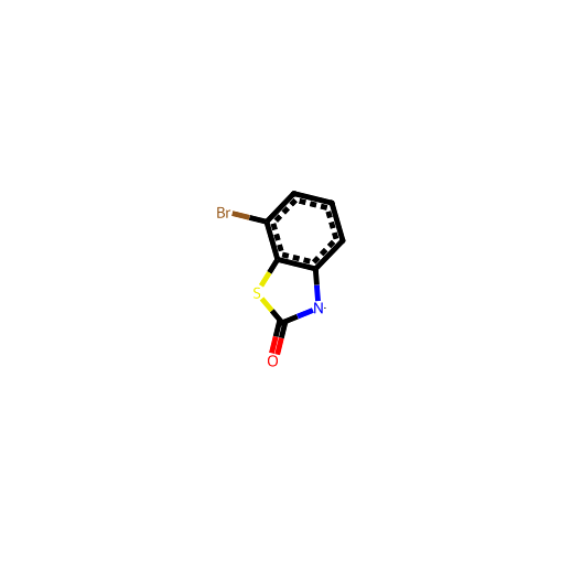 O=C1[N]c2cccc(Br)c2S1